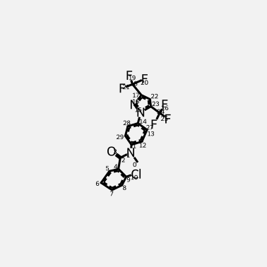 CN(C(=O)c1ccccc1Cl)c1ccc(-n2nc(C(F)(F)F)cc2C(F)(F)F)cc1